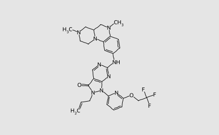 C=CCn1c(=O)c2cnc(Nc3ccc4c(c3)N3CCN(C)CC3CN4C)nc2n1-c1cccc(OCC(F)(F)F)n1